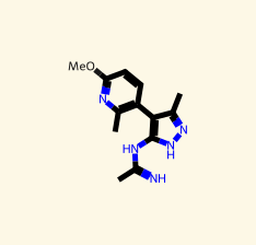 COc1ccc(-c2c(C)n[nH]c2NC(C)=N)c(C)n1